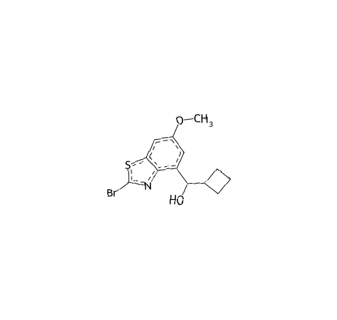 COc1cc(C(O)C2CCC2)c2nc(Br)sc2c1